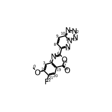 COc1cc2nc(-c3ccc4nnnn4n3)oc(=O)c2cc1F